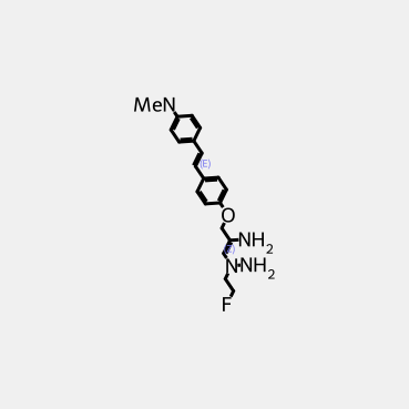 CNc1ccc(/C=C/c2ccc(OC/C(N)=C/N(N)CCF)cc2)cc1